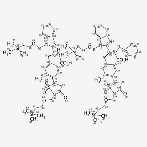 Cc1cc(C[C@@H](c2nc3ccccc3n2COCC[Si](C)(C)C)N(Cc2ccccc2)C(=O)O)ccc1[C@@H]1CC(=O)N(COCC[Si](C)(C)C)S1(=O)=O.Cc1cc(C[C@H](NC(=O)O)c2nc3ccccc3n2COCC[Si](C)(C)C)ccc1[C@H]1CC(=O)N(COCC[Si](C)(C)C)S1(=O)=O